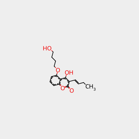 CCC=Cc1c(O)c2c(OCCCCO)cccc2oc1=O